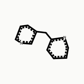 [CH](c1cccnc1)c1ccccn1